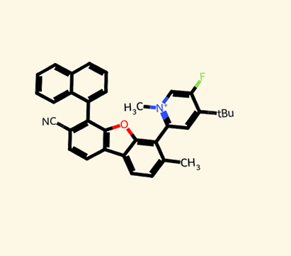 Cc1ccc2c(oc3c(-c4cccc5ccccc45)c(C#N)ccc32)c1-c1cc(C(C)(C)C)c(F)c[n+]1C